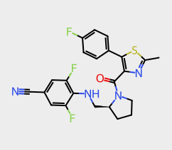 Cc1nc(C(=O)N2CCC[C@H]2CNc2c(F)cc(C#N)cc2F)c(-c2ccc(F)cc2)s1